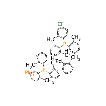 Cc1cccc[c]1[Pd+].Cc1ccccc1P(c1ccccc1C)c1ccccc1C.Cc1ccccc1P(c1ccccc1C)c1ccccc1C.P.[Cl-]